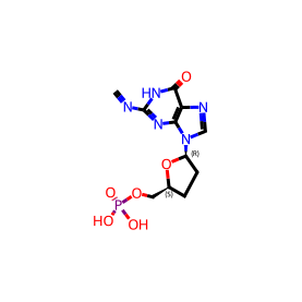 C=Nc1nc2c(ncn2[C@H]2CC[C@@H](COP(=O)(O)O)O2)c(=O)[nH]1